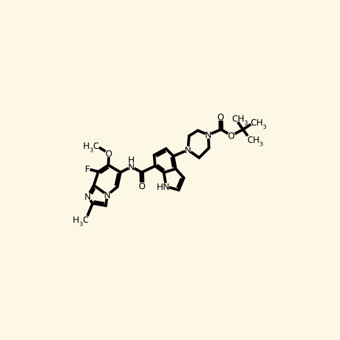 COc1c(NC(=O)c2ccc(N3CCN(C(=O)OC(C)(C)C)CC3)c3cc[nH]c23)cn2cc(C)nc2c1F